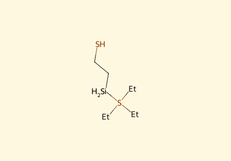 CCS(CC)(CC)[SiH2]CCS